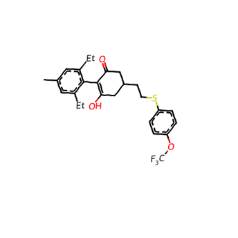 CCc1cc(C)cc(CC)c1C1=C(O)CC(CCSc2ccc(OC(F)(F)F)cc2)CC1=O